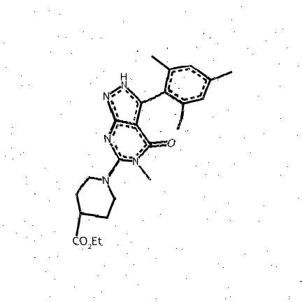 CCOC(=O)C1CCN(c2nc3n[nH]c(-c4c(C)cc(C)cc4C)c3c(=O)n2C)CC1